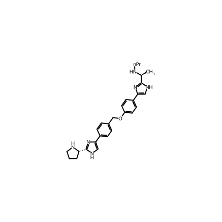 CCCN[C@@H](C)c1nc(-c2ccc(OCc3ccc(-c4c[nH]c([C@@H]5CCCN5)n4)cc3)cc2)c[nH]1